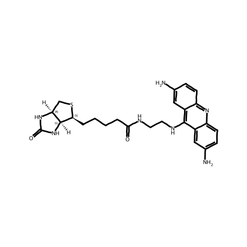 Nc1ccc2nc3ccc(N)cc3c(NCCNC(=O)CCCC[C@@H]3SC[C@@H]4NC(=O)N[C@@H]43)c2c1